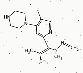 C=NN(C)C(=C(C)C)c1cc(N2CCNCC2)c(F)cn1